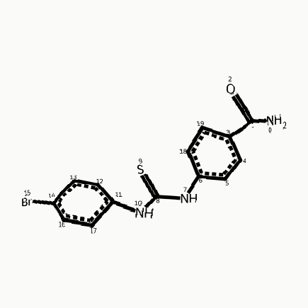 NC(=O)c1ccc(NC(=S)Nc2ccc(Br)cc2)cc1